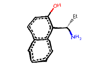 CC[C@H](N)c1c(O)ccc2ccccc12